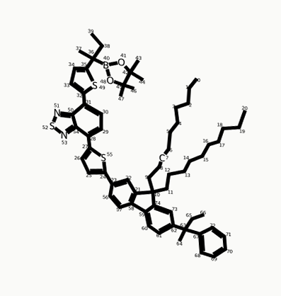 CCCCCCCCCCC1(CCCCCCCCCC)c2cc(-c3ccc(-c4ccc(-c5ccc(C(C)(CC)B6OC(C)(C)C(C)(C)O6)s5)c5nsnc45)s3)ccc2-c2ccc(C(C)(CC)c3ccccc3)cc21